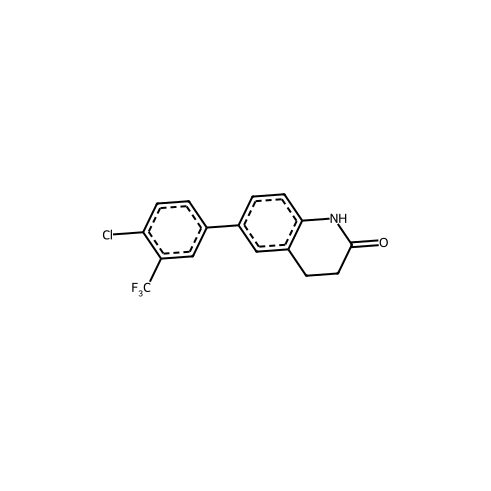 O=C1CCc2cc(-c3ccc(Cl)c(C(F)(F)F)c3)ccc2N1